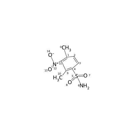 Cc1ccc(S(N)(=O)=O)c(C)c1[N+](=O)[O-]